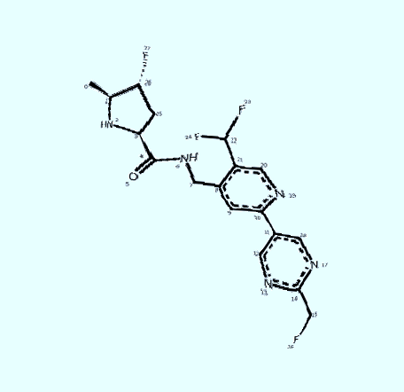 C[C@@H]1N[C@H](C(=O)NCc2cc(-c3cnc(CF)nc3)ncc2C(F)F)C[C@H]1F